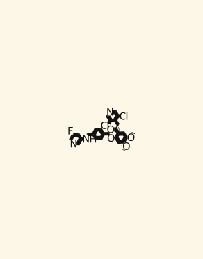 COc1ccc([C@H](Cc2c(Cl)cncc2Cl)OC(=O)c2ccc(CNc3cncc(F)c3)cc2)cc1OC